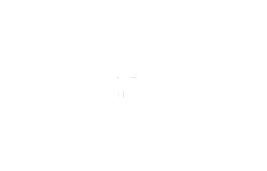 Clc1ccc(-c2ccc(Cl)cc2)cc1.O=S(=O)(O)O